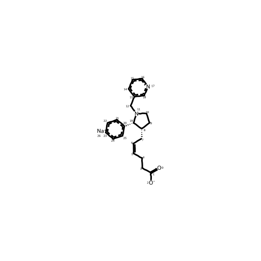 O=C([O-])CC/C=C\C[C@H]1CCN(Cc2cccnc2)[C@H]1c1ccccc1.[Na+]